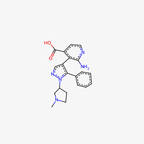 CN1CCC(n2ncc(-c3c(C(=O)O)ccnc3N)c2-c2ccccc2)C1